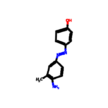 Cc1cc(N=Nc2ccc(O)cc2)ccc1N